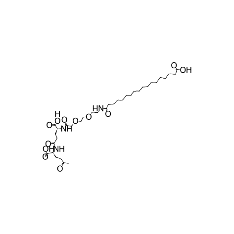 CC(=O)CC[C@H](NC(=O)CC[C@H](NC(=O)COCCOCCNC(=O)CCCCCCCCCCCCCCCCC(=O)O)C(=O)O)C(=O)O